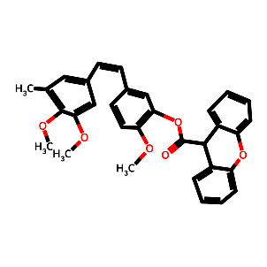 COc1ccc(/C=C\c2cc(C)c(OC)c(OC)c2)cc1OC(=O)C1c2ccccc2Oc2ccccc21